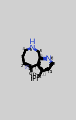 CC(C)/C1=C/CCNCc2nccc(C(C)C)c21